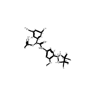 COc1cc(NC(=O)C(OC(C)=O)c2cc(F)cc(F)c2)ccc1B1OC(C)(C)C(C)(C)O1